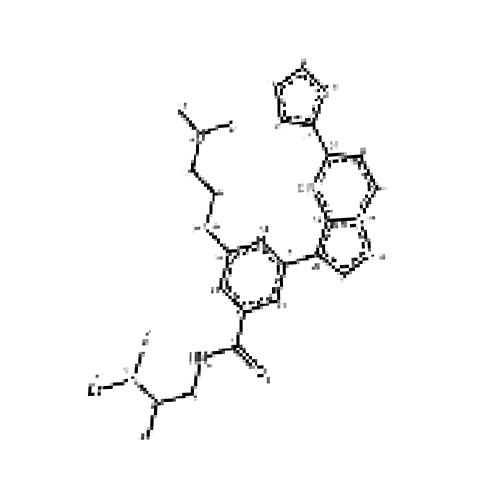 CCN(CC)C(C)CNC(=O)c1cc(NCCN(C)C)nc(-c2cnn3ccc(-c4cccs4)nc23)c1